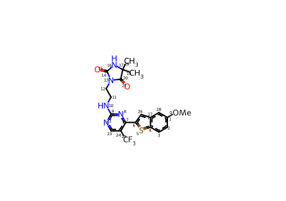 COc1ccc2sc(-c3nc(NCCN4C(=O)NC(C)(C)C4=O)ncc3C(F)(F)F)cc2c1